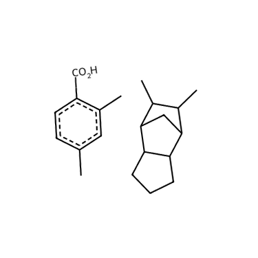 CC1C(C)C2CC1C1CCCC21.Cc1ccc(C(=O)O)c(C)c1